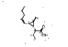 C=C1C(/C=C\CCC)[C@@H]1C(CC)C(=O)O